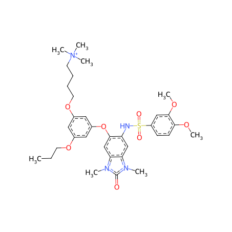 CCCOc1cc(OCCCC[N+](C)(C)C)cc(Oc2cc3c(cc2NS(=O)(=O)c2ccc(OC)c(OC)c2)n(C)c(=O)n3C)c1